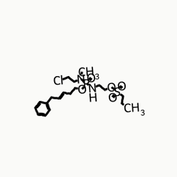 CCCS(=O)(=O)OCCNP(=O)(OCCC=CCc1ccccc1)N(C)CCCl